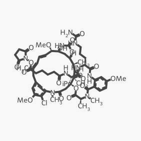 COc1ccc(C(=O)N(C)[C@@H](C)C(=O)O[C@H]2CC(=O)N(C)c3cc(cc(OC)c3Cl)C/C(C)=C/C=C/[C@@H](OC)[C@@]3(O)C[C@H](OC(=O)N3)[C@@H](C)[C@@H]3O[C@@]23C)c(NC(=O)[C@H](CCCNC(N)=O)NC(=O)[C@@H](NC(=O)CCCCC(=O)ON2C(=O)CCC2=O)C(C)C)c1